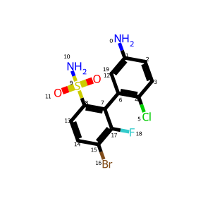 Nc1ccc(Cl)c(-c2c(S(N)(=O)=O)ccc(Br)c2F)c1